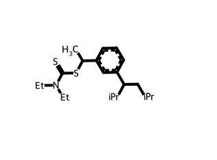 CCN(CC)C(=S)SC(C)c1cccc(C(CC(C)C)C(C)C)c1